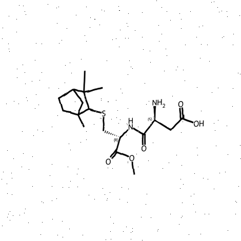 COC(=O)[C@H](CSC1C2(C)CCC(C2)C1(C)C)NC(=O)[C@@H](N)CC(=O)O